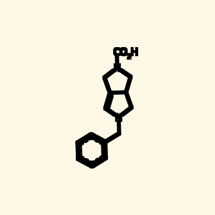 O=C(O)N1CC2=CN(Cc3ccccc3)CC2C1